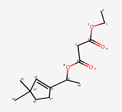 CCOC(=O)CC(=O)OC(C)C1=CC(C)(C)CC1